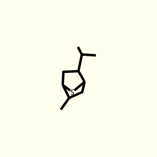 CC(C)C1CC2SC1CC2C